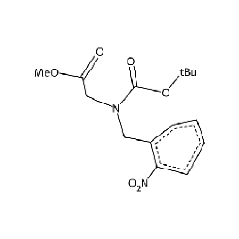 COC(=O)CN(Cc1ccccc1[N+](=O)[O-])C(=O)OC(C)(C)C